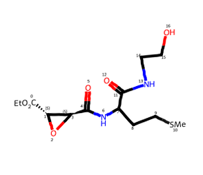 CCOC(=O)[C@H]1O[C@@H]1C(=O)NC(CCSC)C(=O)NCCO